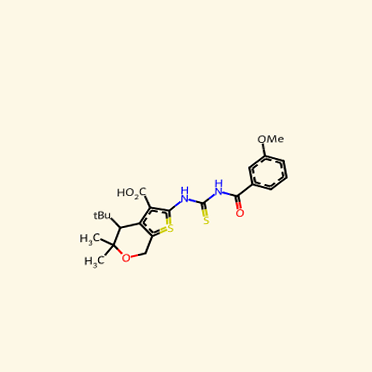 COc1cccc(C(=O)NC(=S)Nc2sc3c(c2C(=O)O)C(C(C)(C)C)C(C)(C)OC3)c1